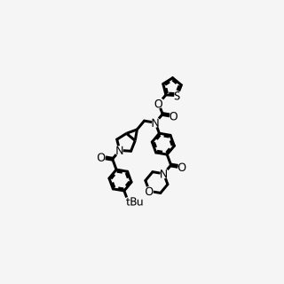 CC(C)(C)c1ccc(C(=O)N2CC3C(C2)C3CN(C(=O)Oc2cccs2)c2ccc(C(=O)N3CCOCC3)cc2)cc1